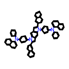 c1ccc(N(c2ccc(-n3c(-c4ccc5ccccc5c4)cc4cc5c(cc(-c6ccc7ccccc7c6)n5-c5ccc(N(c6ccccc6)c6cccc7ccccc67)cc5)cc43)cc2)c2cccc3ccccc23)cc1